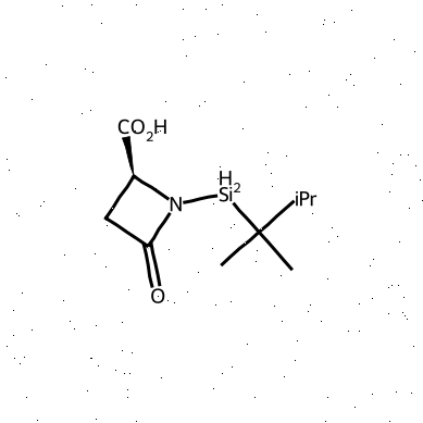 CC(C)C(C)(C)[SiH2]N1C(=O)C[C@H]1C(=O)O